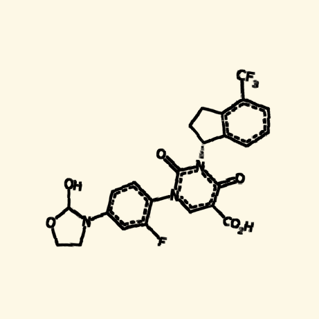 O=C(O)c1cn(-c2ccc(N3CCOC3O)cc2F)c(=O)n([C@@H]2CCc3c2cccc3C(F)(F)F)c1=O